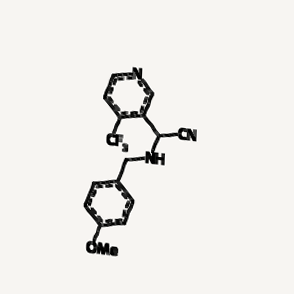 COc1ccc(CNC(C#N)c2cnccc2C(F)(F)F)cc1